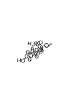 COc1cc(C(=O)NCC(O)(c2cc3c(c(-c4ccc(F)cc4)n2)OCC3(C)N)C(F)(F)F)cc(OC)c1OCCO